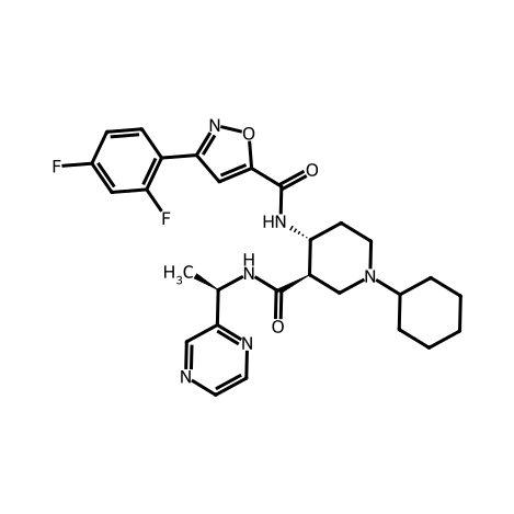 C[C@@H](NC(=O)[C@@H]1CN(C2CCCCC2)CC[C@H]1NC(=O)c1cc(-c2ccc(F)cc2F)no1)c1cnccn1